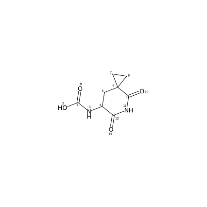 O=C(O)NC1CC2(CC2)C(=O)NC1=O